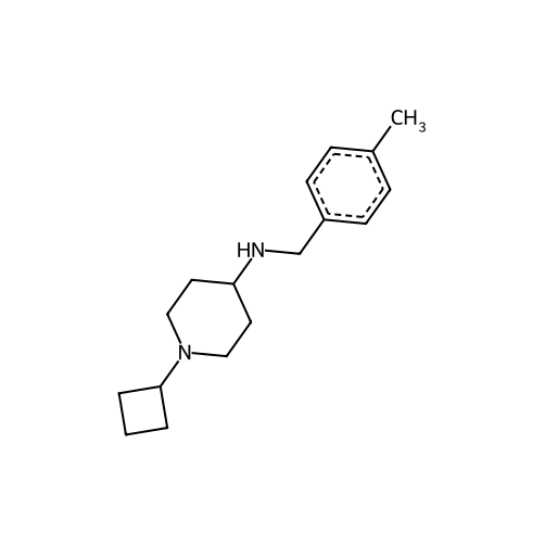 Cc1ccc(CNC2CCN(C3CCC3)CC2)cc1